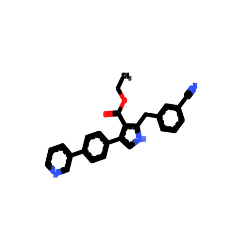 CCOC(=O)c1c(-c2ccc(-c3cccnc3)cc2)c[nH]c1Cc1cccc(C#N)c1